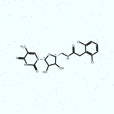 Cc1cn([C@@H]2O[C@H](CNC(=O)Cc3c(Cl)cccc3Cl)C(O)C2O)c(=O)[nH]c1=O